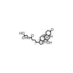 C[C@H](CCC(=O)NCC(=O)O)C1CC[C@H]2[C@@H]3[C@H](O)C[C@@H]4CC(=O)CC[C@]4(C)[C@H]3CC[C@]12C